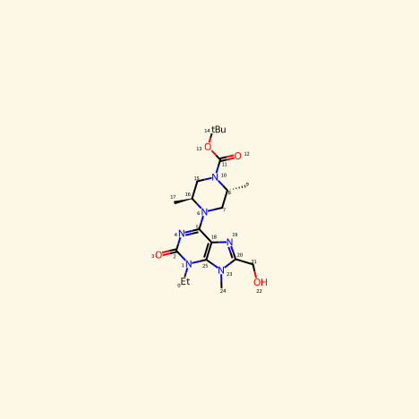 CCn1c(=O)nc(N2C[C@@H](C)N(C(=O)OC(C)(C)C)C[C@@H]2C)c2nc(CO)n(C)c21